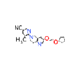 Cc1cc(C#N)cnc1N1CCc2ncc(OCCOC3CCCC3)cc2C1